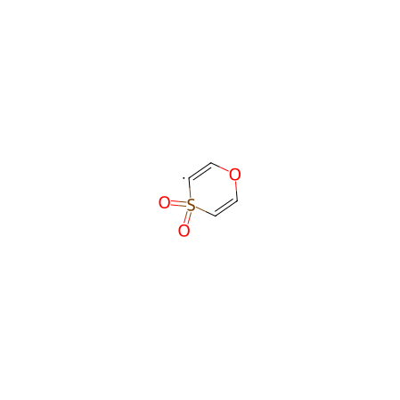 O=S1(=O)[C]=COC=C1